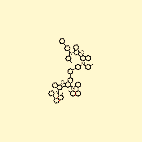 Cc1cccc(N(c2ccc(-c3ccccc3)cc2)c2cc3c4cc(N(c5ccc(-c6cccc(-c7ccc8c(N(c9ccccc9C)c9ccccc9-c9ccccc9)cc9c%10cc(N(c%11ccccc%11C)c%11ccccc%11-c%11ccccc%11)c%11ccccc%11c%10oc9c8c7)c6)cc5)c5cccc(C)c5)c5ccccc5c4oc3c3ccccc23)c1